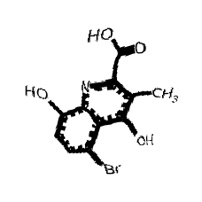 Cc1c(C(=O)O)nc2c(O)ccc(Br)c2c1O